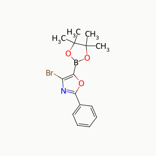 CC1(C)OB(c2oc(-c3ccccc3)nc2Br)OC1(C)C